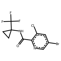 O=C(NC1(C(F)(F)F)CC1)c1ncc(Br)cc1Cl